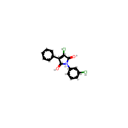 O=C1C(Cl)=C(c2ccccc2)C(=O)N1c1cccc(Cl)c1